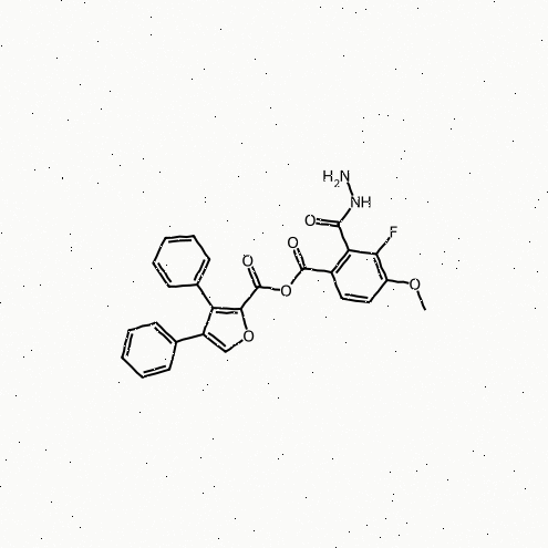 COc1ccc(C(=O)OC(=O)c2occ(-c3ccccc3)c2-c2ccccc2)c(C(=O)NN)c1F